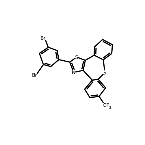 FC(F)(F)c1ccc2c(c1)Sc1ccccc1-c1sc(-c3cc(Br)cc(Br)c3)nc1-2